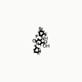 O=C(O)c1cn(Cc2cccnc2)c(=O)c(F)c1Nc1ccc(Br)cc1F